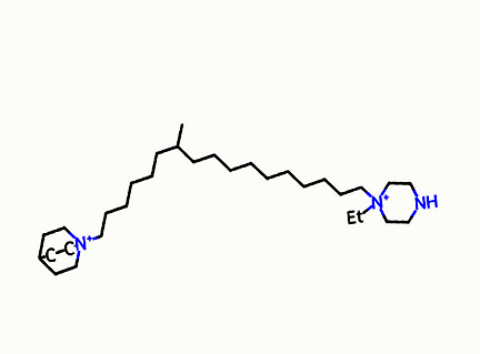 CC[N+]1(CCCCCCCCCCC(C)CCCCCC[N+]23CCC(CC2)CC3)CCNCC1